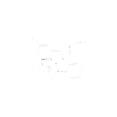 CCCCCCCC(=O)NC12C(=O)c3ccccc3C1(OC(=O)CCCCCC)Oc1cc(C(C)C)ccc12